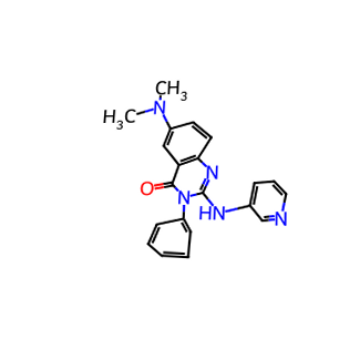 CN(C)c1ccc2nc(Nc3cccnc3)n(-c3ccccc3)c(=O)c2c1